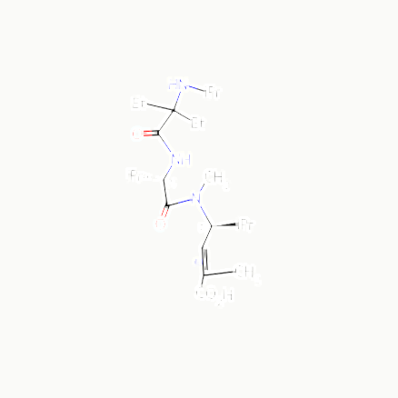 CCC(CC)(NC(C)C)C(=O)N[C@H](C(=O)N(C)[C@H](/C=C(\C)C(=O)O)C(C)C)C(C)C